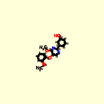 COc1ccccc1Oc1[c]nc(-c2cccc(O)c2)nc1OC